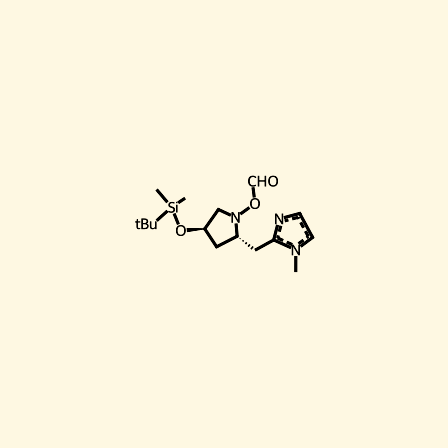 Cn1ccnc1C[C@@H]1C[C@@H](O[Si](C)(C)C(C)(C)C)CN1OC=O